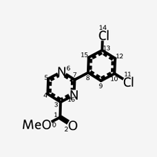 COC(=O)c1ccnc(-c2cc(Cl)cc(Cl)c2)n1